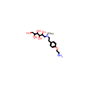 CCCCCCN(CCc1ccc(OCCN)cc1)CC(O)C(O)C(O)C(O)CO